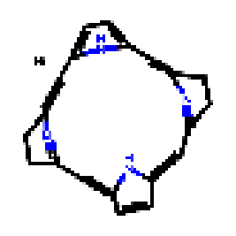 [Ni].c1cc2cc3nc(cc4ccc(cc5nc(cc1[nH]2)CC5)[nH]4)CC3